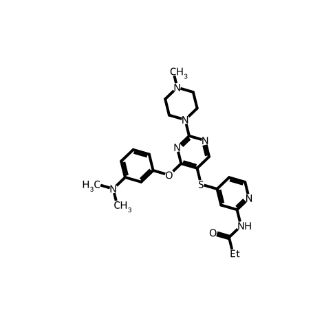 CCC(=O)Nc1cc(Sc2cnc(N3CCN(C)CC3)nc2Oc2cccc(N(C)C)c2)ccn1